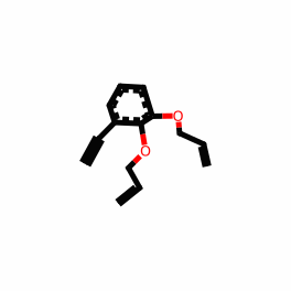 C#Cc1cccc(OCC=C)c1OCC=C